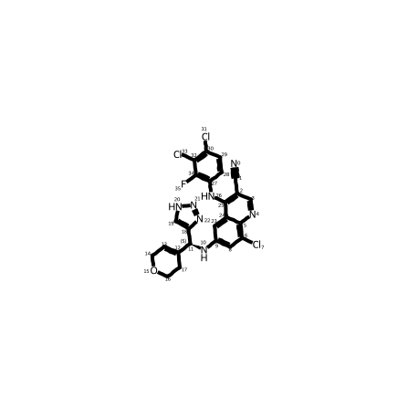 N#Cc1cnc2c(Cl)cc(N[C@@H](C3=CCOCC3)c3c[nH]nn3)cc2c1Nc1ccc(Cl)c(Cl)c1F